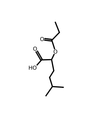 CCC(=O)OC(CCC(C)C)C(=O)O